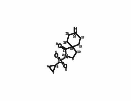 O=C1N(S(=O)(=O)C2CC2)CCC12CCNCC2